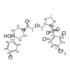 O=C(COCC1CCCN1S(=O)(=O)c1c(Cl)cc(C(F)(F)F)cc1Cl)N1CCC(O)(c2ccc(Cl)cc2)CC1